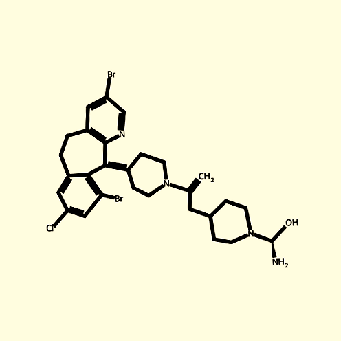 C=C(CC1CCN([C@H](N)O)CC1)N1CCC(=C2c3ncc(Br)cc3CCc3cc(Cl)cc(Br)c32)CC1